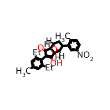 CCc1cc(C)cc(CC)c1C1=C(O)[C@H]2[C@@H](C1=O)[C@@H]1CC(c3cc([N+](=O)[O-])ccc3C)[C@H]2O1